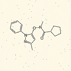 Cc1cc(ON(C)C(=O)C2CCCC2)n(-c2ccccc2)n1